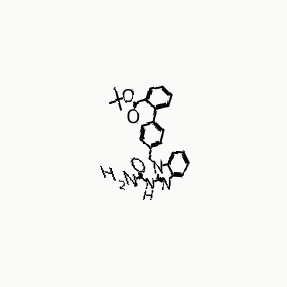 CC(C)(C)OC(=O)c1ccccc1-c1ccc(Cn2c(NC(N)=O)nc3ccccc32)cc1